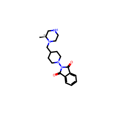 C[C@H]1CNCCN1CC1CCN(N2C(=O)c3ccccc3C2=O)CC1